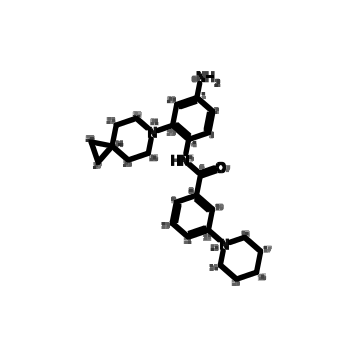 Nc1ccc(NC(=O)c2cccc(N3CCCCC3)c2)c(N2CCC3(CC2)CC3)c1